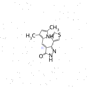 Cc1cc(C)c(/C=C2/C(=O)NN=C2c2ccsc2)[nH]1